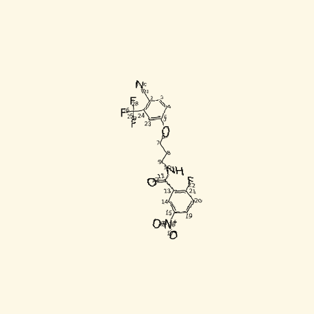 N#Cc1ccc(OCCCNC(=O)c2cc([N+](=O)[O-])ccc2F)cc1C(F)(F)F